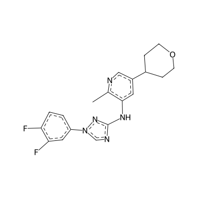 Cc1ncc(C2CCOCC2)cc1Nc1ncn(-c2ccc(F)c(F)c2)n1